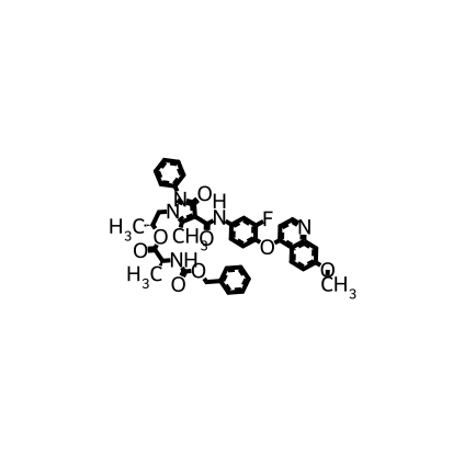 COc1ccc2c(Oc3ccc(NC(=O)c4c(C)n(C[C@@H](C)OC(=O)[C@H](C)NC(=O)OCc5ccccc5)n(-c5ccccc5)c4=O)cc3F)ccnc2c1